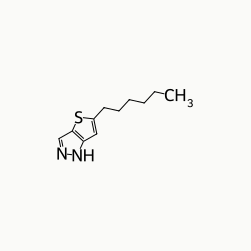 CCCCCCc1cc2[nH]ncc2s1